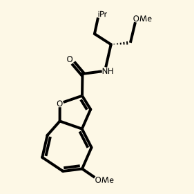 COC[C@@H](CC(C)C)NC(=O)C1=CC2=CC(OC)=CC=CC2O1